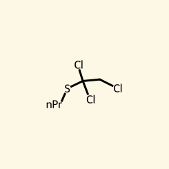 CCCSC(Cl)(Cl)CCl